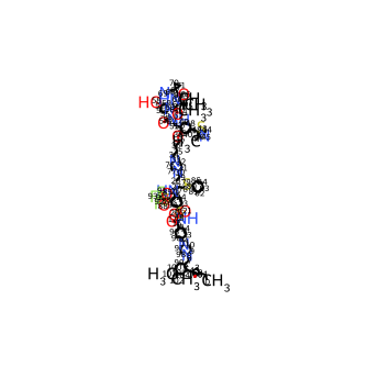 CCC12CC(C3=C(CN4CCN(c5ccc(C(=O)NS(=O)(=O)c6ccc(N[C@H](CCN7CCN(CCCCOc8cc(-c9scnc9C)ccc8CNC(=O)[C@@H]8C[C@@H](O)CN8C(=O)[C@@H](NC(=O)C8(C#N)CC8)C(C)(C)C)CC7)CSc7ccccc7)c(S(=O)(=O)C(F)(F)F)c6)cc5)CC4)CCC(C)(C)C3)(C1)C2